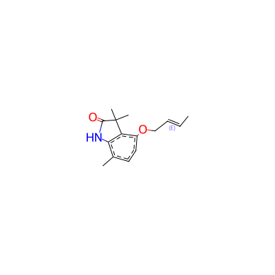 C/C=C/COc1ccc(C)c2c1C(C)(C)C(=O)N2